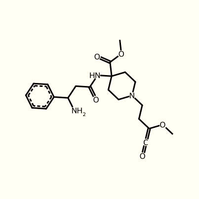 COC(=O)C1(NC(=O)CC(N)c2ccccc2)CCN(CCC(=C=O)OC)CC1